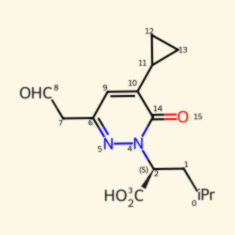 CC(C)C[C@@H](C(=O)O)n1nc(CC=O)cc(C2CC2)c1=O